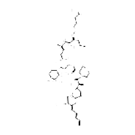 C=C/C=C/C=C(\C)[C@H](C[C@@H]1CC[C@@H](C)[C@](O)(C(=O)C(=O)N2CCCC[C@H]2C(=O)O[C@@H](C[C@@H](O)[C@H](C)/C=C(\C)[C@@H](O)[C@@H](O)/C(=N/OCCCCN)[C@H](C)CC(C)C)[C@H](N)C[C@@H]2CC[C@@H](O)[C@H](OC)C2)O1)OC